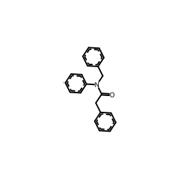 O=C(Cc1ccccc1)N(Cc1ccccc1)c1cc[c]cc1